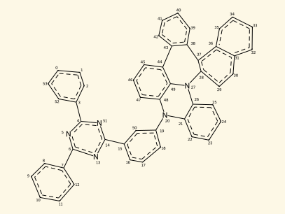 c1ccc(-c2nc(-c3ccccc3)nc(-c3cccc(N4c5ccccc5N5c6ccc7ccccc7c6-c6ccccc6-c6cccc4c65)c3)n2)cc1